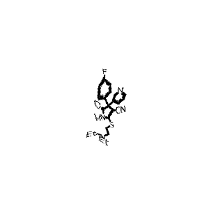 CCN(CC)CCSC1=C(C#N)C(c2ccc(F)cc2)(c2cccnc2)C(=O)N1